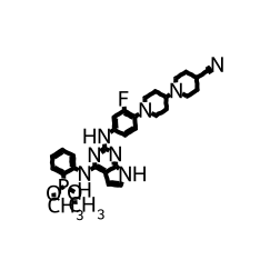 COP(OC)c1ccccc1Nc1nc(Nc2ccc(N3CCC(N4CCC(C#N)CC4)CC3)c(F)c2)nc2[nH]ccc12